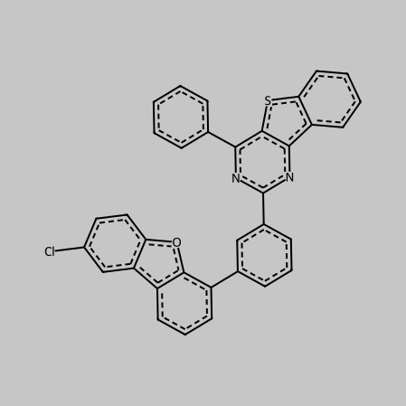 Clc1ccc2oc3c(-c4cccc(-c5nc(-c6ccccc6)c6sc7ccccc7c6n5)c4)cccc3c2c1